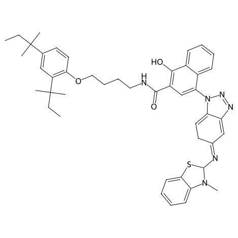 CCC(C)(C)c1ccc(OCCCCNC(=O)c2cc(-n3nnc4c3=CCC(=NC3Sc5ccccc5N3C)C=4)c3ccccc3c2O)c(C(C)(C)CC)c1